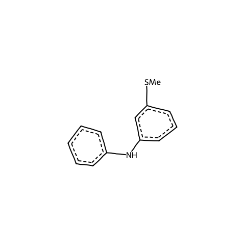 CSc1cccc(Nc2ccccc2)c1